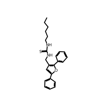 CCCCCCNC(=S)NCc1cc(-c2ccccc2)oc1-c1ccccc1